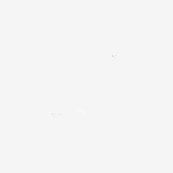 COC(=O)c1cccc(Cc2ccccc2OC)c1